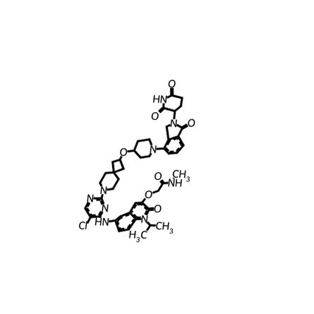 CNC(=O)COc1cc2cc(Nc3nc(N4CCC5(CC4)CC(OC4CCN(c6cccc7c6CN(C6CCC(=O)NC6=O)C7=O)CC4)C5)ncc3Cl)ccc2n(C(C)C)c1=O